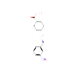 O=C(O)[C@H]1CC[C@H](CN=Cc2cccc([N+](=O)[O-])c2)CC1